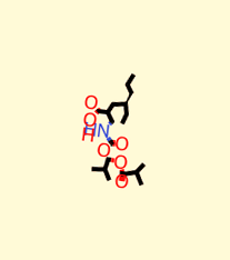 CCC[C@@H](CC)CC(CNC(=O)O[C@H](OC(=O)C(C)C)C(C)C)C(=O)O